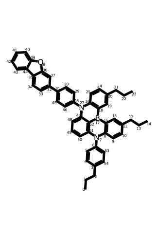 CCCc1ccc(N2c3ccc(CCC)cc3B3c4cc(CCC)ccc4N(c4ccc(-c5ccc6c(c5)oc5ccccc56)cc4)c4cccc2c43)cc1